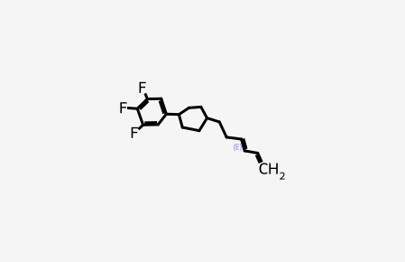 C=C/C=C/CCC1CCC(c2cc(F)c(F)c(F)c2)CC1